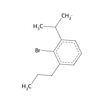 [CH2]C(C)c1cccc(CCC)c1Br